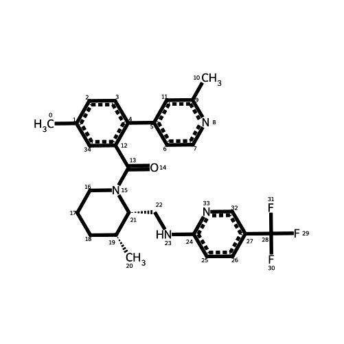 Cc1ccc(-c2ccnc(C)c2)c(C(=O)N2CCC[C@@H](C)[C@H]2CNc2ccc(C(F)(F)F)cn2)c1